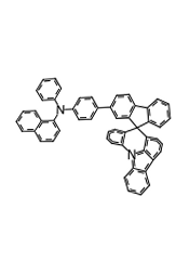 c1ccc(N(c2ccc(-c3ccc4c(c3)C3(c5ccccc5-4)c4ccccc4-n4c5ccccc5c5cccc3c54)cc2)c2cccc3ccccc23)cc1